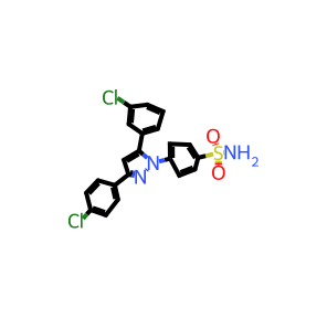 NS(=O)(=O)c1ccc(-n2nc(-c3ccc(Cl)cc3)cc2-c2cccc(Cl)c2)cc1